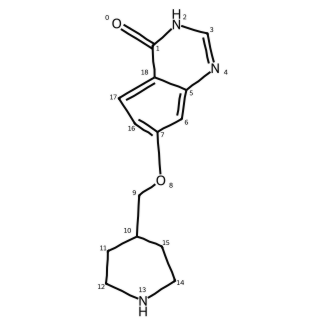 O=c1[nH]cnc2cc(OCC3CCNCC3)ccc12